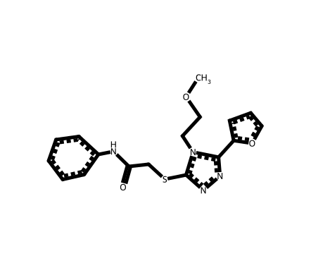 COCCn1c(SCC(=O)Nc2ccccc2)nnc1-c1ccco1